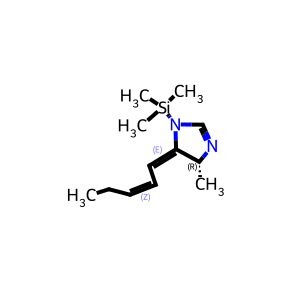 CC/C=C\C=C1/[C@@H](C)N=CN1[Si](C)(C)C